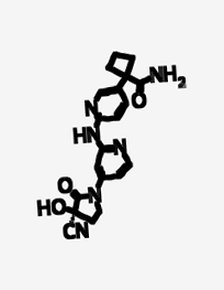 N#C[C@@]1(O)CCN(c2ccnc(Nc3ccc(C4(C(N)=O)CCC4)cn3)c2)C1=O